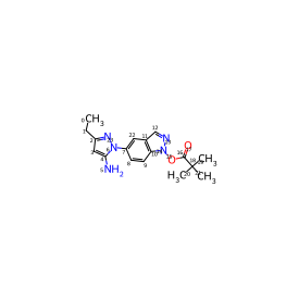 CCc1cc(N)n(-c2ccc3c(cnn3OC(=O)C(C)(C)C)c2)n1